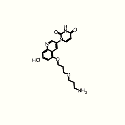 Cl.NCCCOCCCOc1cccc2ncc(-n3ccc(=O)[nH]c3=O)cc12